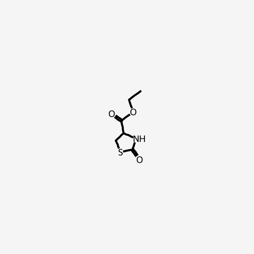 CCOC(=O)C1CSC(=O)N1